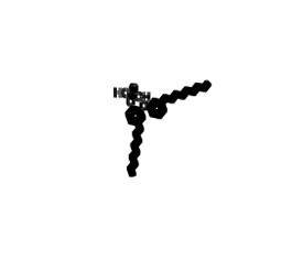 CCCCCCCCCc1cccc(Oc2cccc(CCCCCCCCC)c2)c1.O=S(=O)(O)O